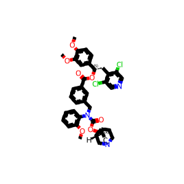 COc1ccc([C@H](Cc2c(Cl)cncc2Cl)OC(=O)c2cccc(CN(C(=O)O[C@H]3CN4CCC3CC4)c3ccccc3OC)c2)cc1OC